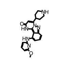 COc1cccc(Nc2cccc3nn4c(C5CCNCC5)cc(=O)[nH]c4c23)n1